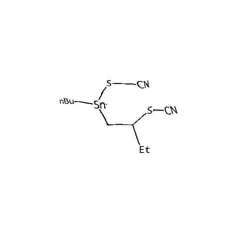 CCC[CH2][Sn]([CH2]C(CC)SC#N)[S]C#N